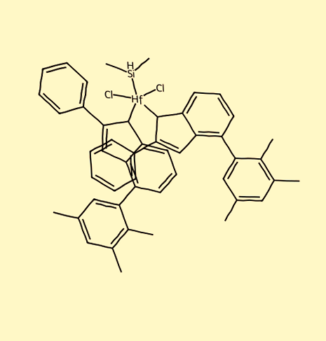 Cc1cc(C)c(C)c(-c2cccc3c2C=C(c2ccccc2)[CH]3[Hf]([Cl])([Cl])([CH]2C(c3ccccc3)=Cc3c(-c4cc(C)cc(C)c4C)cccc32)[SiH](C)C)c1